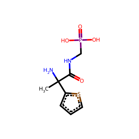 CC(N)(C(=O)NCP(=O)(O)O)c1cccs1